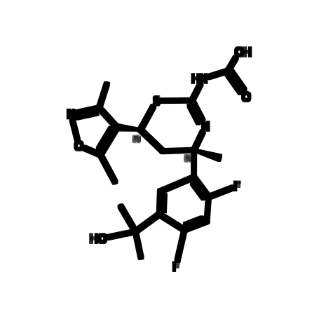 Cc1noc(C)c1[C@@H]1C[C@@](C)(c2cc(C(C)(C)O)c(F)cc2F)N=C(NC(=O)O)S1